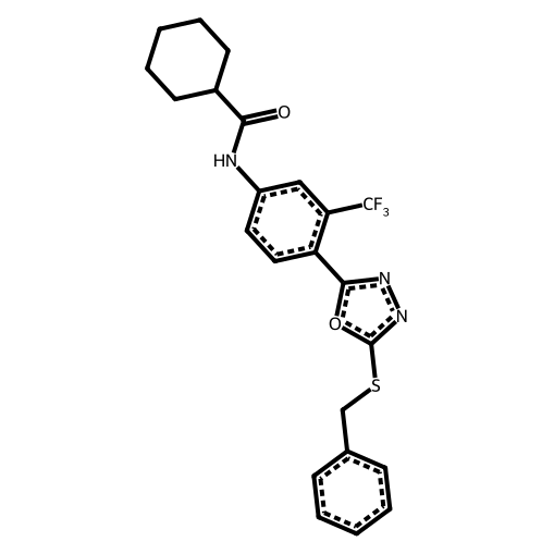 O=C(Nc1ccc(-c2nnc(SCc3ccccc3)o2)c(C(F)(F)F)c1)C1CCCCC1